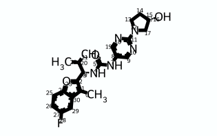 Cc1c([C@@H](NC(=O)Nc2cnc(N3CC[C@H](O)C3)nc2)C(C)C)oc2ccc(F)cc12